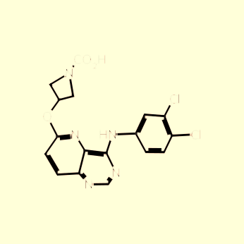 O=C(O)N1CC(Oc2ccc3ncnc(Nc4ccc(Cl)c(Cl)c4)c3n2)C1